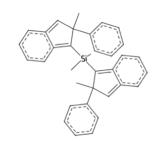 CC1(c2ccccc2)C=c2ccccc2=C1[Si](C)(C)C1=c2ccccc2=CC1(C)c1ccccc1